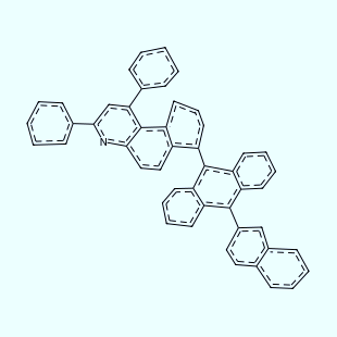 c1ccc(-c2cc(-c3ccccc3)c3c(ccc4c(-c5c6ccccc6c(-c6ccc7ccccc7c6)c6ccccc56)cccc43)n2)cc1